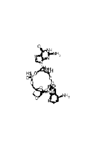 Nc1nc2c(ncn2[C@@H]2O[C@@H]3COP(=O)(S)O[C@@H]4C5OC[C@]4(COP(=O)(S)OC2[C@H]3O)O[C@H]5n2ccc3c(N)ccnc32)c(=O)[nH]1